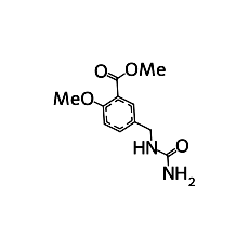 COC(=O)c1cc(CNC(N)=O)ccc1OC